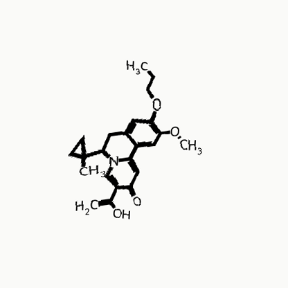 C=C(O)c1cn2c(cc1=O)-c1cc(OC)c(OCCC)cc1CC2C1(C)CC1